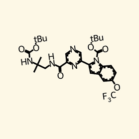 CC(C)(CNC(=O)c1cncc(-c2cc3cc(OC(F)(F)F)ccc3n2C(=O)OC(C)(C)C)n1)NC(=O)OC(C)(C)C